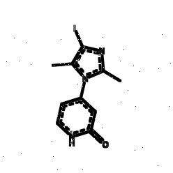 Cc1nc(I)c(C)n1-c1cc[nH]c(=O)c1